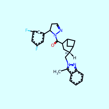 Cc1c2ccccc2nn1C[C@@H]1CC(C(=O)N2N=CCC2c2cc(F)cc(F)c2)C2CC1C2